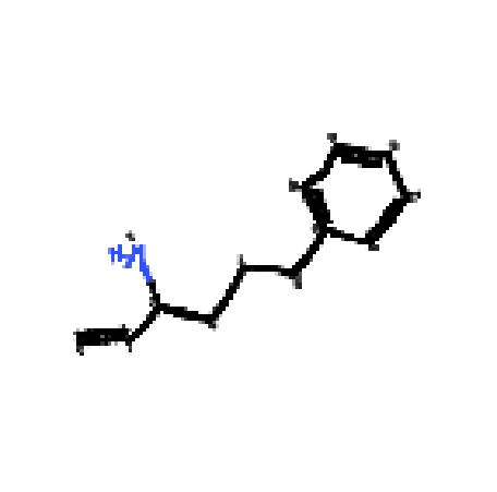 C=CC(N)CCCc1ccccc1